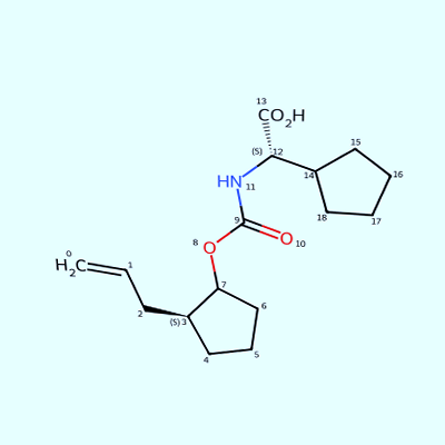 C=CC[C@@H]1CCCC1OC(=O)N[C@H](C(=O)O)C1CCCC1